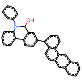 OC1c2cc(-c3cccc4c3ccc3cc5ccccc5cc34)ccc2-c2ccccc2N1c1ccccc1